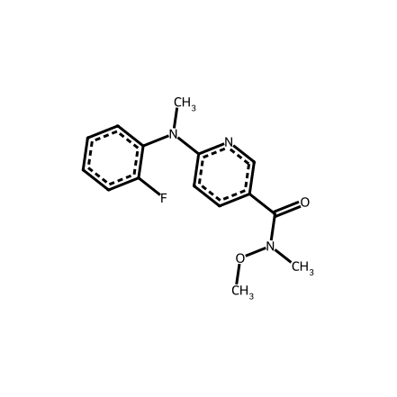 CON(C)C(=O)c1ccc(N(C)c2ccccc2F)nc1